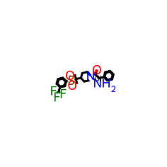 CC(C)(C1CCN(C(=O)[C@@H](N)c2ccccc2)CC1)S(=O)(=O)c1cccc(C(F)(F)F)c1